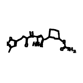 Cc1cc(CC(=O)Nc2cc(C3CCC(OC(N)=O)C3)n[nH]2)on1